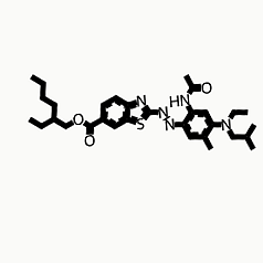 CCCCC(CC)COC(=O)c1ccc2nc(N=Nc3cc(C)c(N(CC)CC(C)C)cc3NC(C)=O)sc2c1